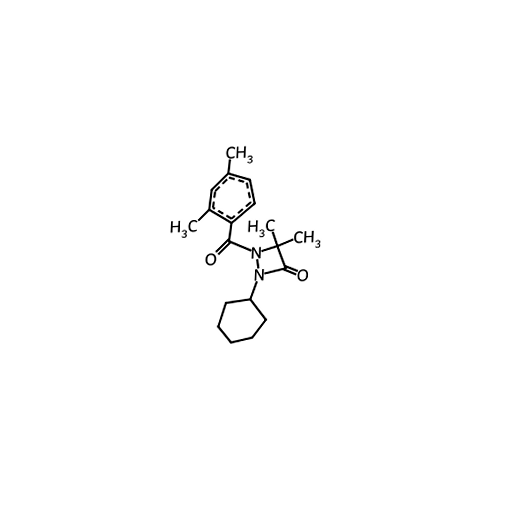 Cc1ccc(C(=O)N2N(C3CCCCC3)C(=O)C2(C)C)c(C)c1